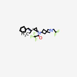 CC/C(=C\c1ccccc1)[C@@H]1C[C@H]1N(C(=O)C(F)(F)F)C1CC2(C1)CN(CC(F)F)C2